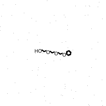 OCCCOCCCOCCCOc1ccccc1